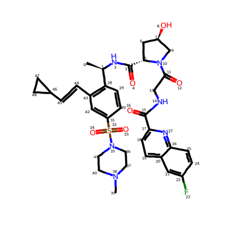 C[C@@H](NC(=O)[C@@H]1C[C@@H](O)CN1C(=O)CNC(=O)c1ccc2cc(F)ccc2n1)c1ccc(S(=O)(=O)N2CCN(C)CC2)cc1/C=C/C1CC1